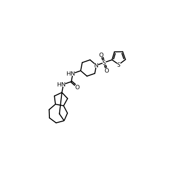 O=C(NC1CCN(S(=O)(=O)c2cccs2)CC1)NC12CC3CCCC(C1)C(C3)C2